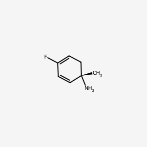 C[C@@]1(N)C=CC(F)=CC1